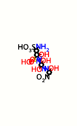 Nc1cc2c(O)c(N=Nc3cc(O)c(N=Nc4cc([N+](=O)[O-])ccc4O)cc3O)c(SOOO)cc2cc1S(=O)(=O)O